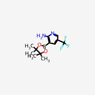 CC1(C)OB(c2cc(C(F)(F)F)cnc2N)OC1(C)C